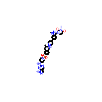 CC(Cc1cc(S(=O)(=O)N2CCC(Nc3ncc4cn[nH]c4n3)CC2)ccc1C#N)CN1CCC(c2ccc3c(N4CCC(=O)NC4=O)nn(C)c3c2)CC1